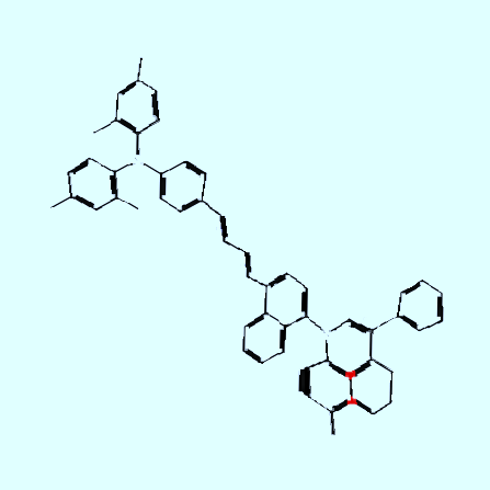 Cc1c#cc(N(/C=C(\C2=CC=CCC2)c2ccccc2)c2ccc(/C=C/C=C/c3ccc(N(c4ccc(C)cc4C)c4ccc(C)cc4C)cc3)c3ccccc23)cc1